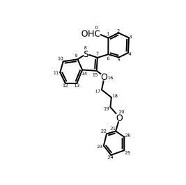 O=Cc1ccccc1-c1sc2ccccc2c1OCCCOc1ccccc1